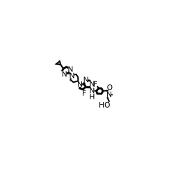 CN(CCO)C(=O)c1ccc(Nc2ncnc3c2c(F)cn3C2CCN(c3ncc(C4CC4)cn3)CC2)c(F)c1